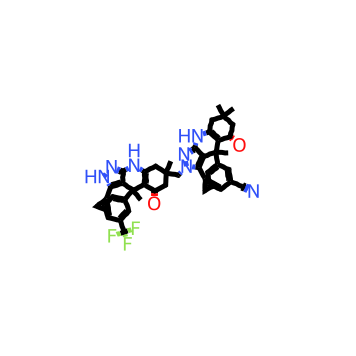 CC1(C)CC(=O)C2=C(C1)Nc1nn(CC3(C)CC(=O)C4=C(C3)Nc3n[nH]c(C5CC5)c3C4(C)c3cccc(C(F)(F)F)c3)c(C3CC3)c1C2(C)c1cccc(C#N)c1